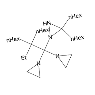 [CH2]CC(CCCCCC)(CCCCCC)C(N1CC1)(N1CC1)N1NC1(CCCCCC)CCCCCC